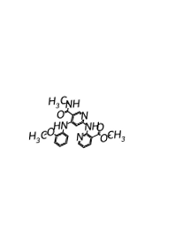 CNC(=O)c1cnc(Nc2ncccc2C(=O)OC)cc1Nc1ccccc1OC